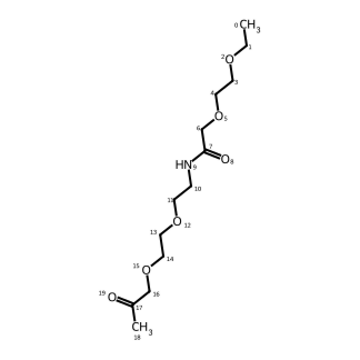 CCOCCOCC(=O)NCCOCCOCC(C)=O